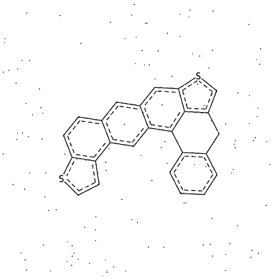 c1ccc2c(c1)Cc1csc3cc4cc5ccc6sccc6c5cc4c-2c13